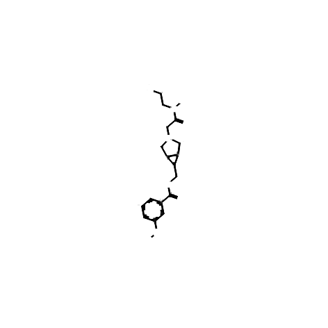 CCN(CCO)C(=O)CN1CC2C(CNC(=O)c3cccc(OC(F)(F)F)c3)C2C1